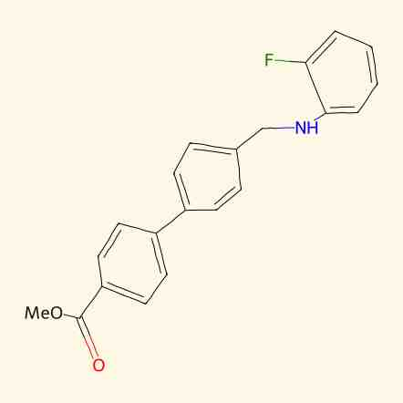 COC(=O)c1ccc(-c2ccc(CNc3ccccc3F)cc2)cc1